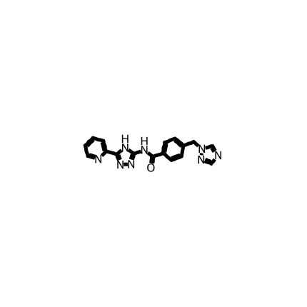 O=C(Nc1nnc(-c2ccccn2)[nH]1)c1ccc(Cn2cncn2)cc1